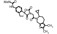 CNC(=O)Nc1ccc2c(c1)CC[C@@]21OC(=O)N(CC(=O)N2Cc3sc(C)c(C)c3CCC2C2CC2)C1=O